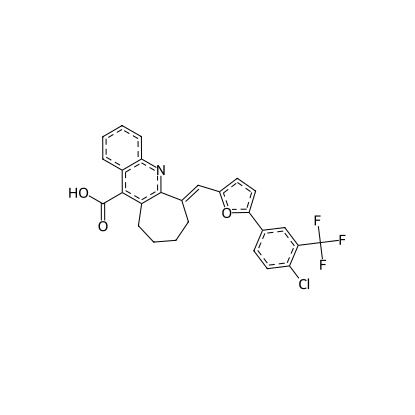 O=C(O)c1c2c(nc3ccccc13)/C(=C/c1ccc(-c3ccc(Cl)c(C(F)(F)F)c3)o1)CCCC2